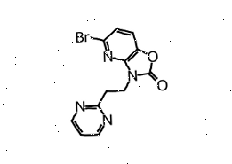 O=c1oc2ccc(Br)nc2n1CCc1ncccn1